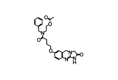 CC(=O)OCCN(Cc1ccccc1)C(=O)CCCOc1ccc2c(c1)CN1CC(=O)NC1=N2